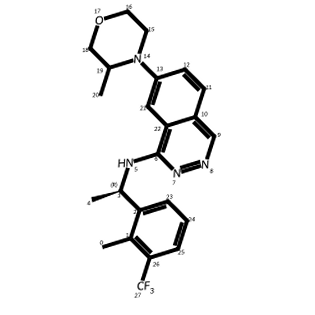 Cc1c([C@@H](C)Nc2nncc3ccc(N4CCOCC4C)cc23)cccc1C(F)(F)F